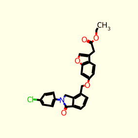 CCOC(=O)Cc1coc2cc(OCc3cccc4c3CN(c3ccc(Cl)cc3)C4=O)ccc12